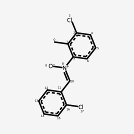 Cc1c(Cl)cccc1[N+]([O-])=Cc1ccccc1Cl